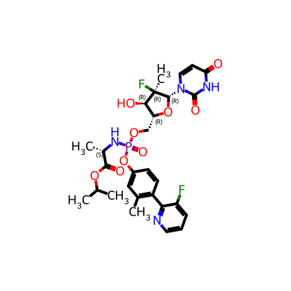 Cc1cc(OP(=O)(N[C@@H](C)C(=O)OC(C)C)OC[C@H]2O[C@@H](n3ccc(=O)[nH]c3=O)[C@](C)(F)[C@@H]2O)ccc1-c1ncccc1F